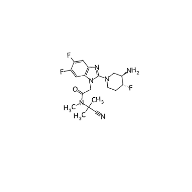 CN(C(=O)Cn1c(N2CC[C@@H](F)[C@H](N)C2)nc2cc(F)c(F)cc21)C(C)(C)C#N